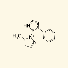 CC1=CC=N[N+]1c1[nH]ccc1-c1ccccc1